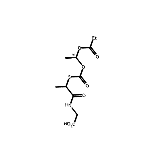 CCC(=O)O[C@H](C)OC(=O)SC(C)C(=O)NCC(=O)O